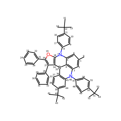 Cc1cc2c3c(c1)N(c1ccc(C(C)(C)C)cc1)c1oc(-c4ccccc4)c(-c4ccccc4)c1B3c1ccc(C(C)(C)C)cc1N2c1ccc(C(C)(C)C)cc1